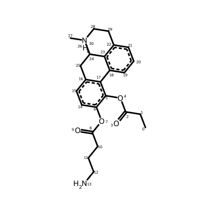 CCC(=O)Oc1c(OC(=O)CCCN)ccc2c1-c1cccc3c1[C@@H](C2)N(C)CC3